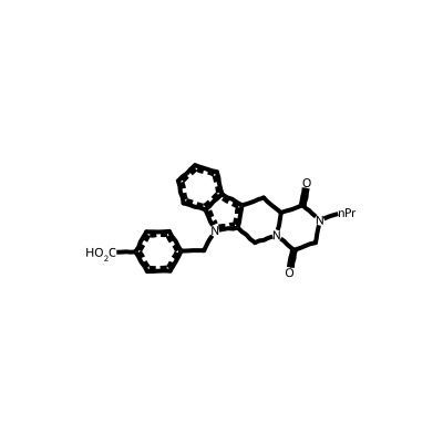 CCCN1CC(=O)N2Cc3c(c4ccccc4n3Cc3ccc(C(=O)O)cc3)CC2C1=O